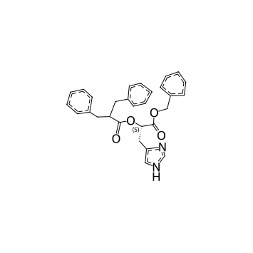 O=C(O[C@@H](Cc1c[nH]cn1)C(=O)OCc1ccccc1)C(Cc1ccccc1)Cc1ccccc1